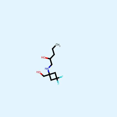 CCCC(O)CNC1(CO)CC(F)(F)C1